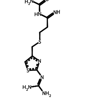 N=C(CCSCc1csc(N=C(N)N)n1)NC(N)=O